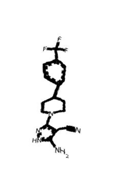 N#Cc1c(N2CCC(c3ccc(C(F)(F)F)cc3)CC2)n[nH]c1N